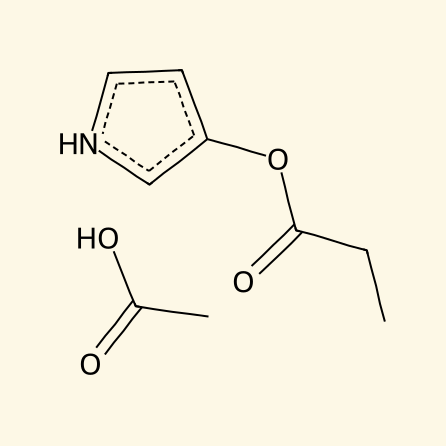 CC(=O)O.CCC(=O)Oc1cc[nH]c1